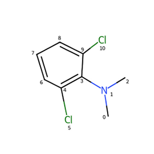 CN(C)c1c(Cl)cccc1Cl